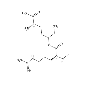 CN[C@@H](CCCNC(=N)N)C(=O)OC(CN)CC[C@H](N)C(=O)O